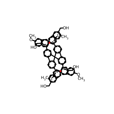 COc1ccc(N(c2ccc(OC)cc2)c2ccc3c(c2)C2(c4cc(N(c5ccc(CO)cc5)c5ccc(CO)cc5)ccc4-3)c3cc(N(c4ccc(CO)cc4)c4ccc(CO)cc4)ccc3-c3ccc(N(c4ccc(OC)cc4)c4ccc(OC)cc4)cc32)cc1